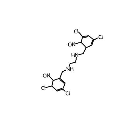 O=NC1C(CNCCNCC2C=C(Cl)C=C(Cl)C2N=O)=CC(Cl)=CC1Cl